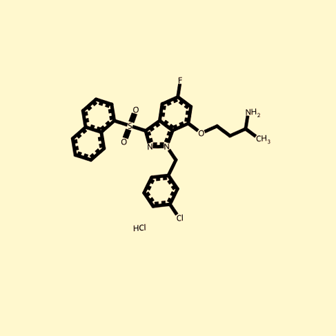 CC(N)CCOc1cc(F)cc2c(S(=O)(=O)c3cccc4ccccc34)nn(Cc3cccc(Cl)c3)c12.Cl